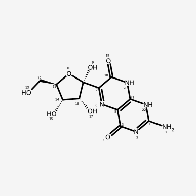 Nc1nc(=O)c2nc([C@]3(O)O[C@H](CO)[C@@H](O)[C@H]3O)c(=O)[nH]c2[nH]1